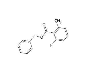 Cc1cccc(F)c1C(=O)OCc1ccccc1